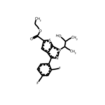 CCOC(=O)c1cc2c(-c3ccc(F)cc3F)nn(C(C)C(C)O)c2s1